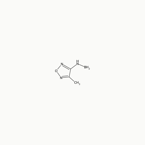 BNc1nonc1C